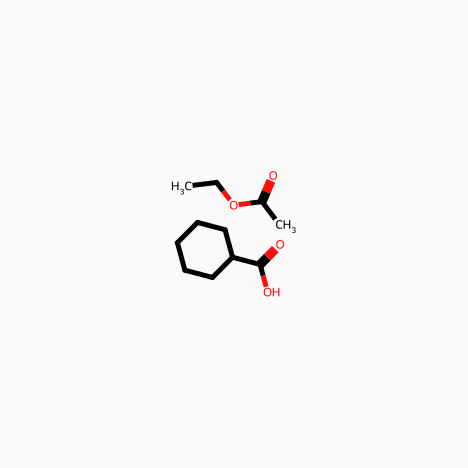 CCOC(C)=O.O=C(O)C1CCCCC1